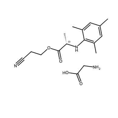 Cc1cc(C)c(N[C@@H](C)C(=O)OCCC#N)c(C)c1.NCC(=O)O